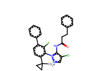 O=C(CCc1ccccc1)Nc1c(Cl)cnn1-c1c(C2(C(=O)O)CC2)ccc(-c2ccccc2)c1F